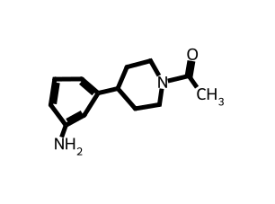 CC(=O)N1CCC(c2cccc(N)c2)CC1